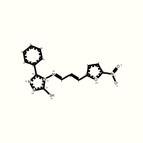 O=[N+]([O-])c1ccc(/C=C/C=N/n2c(S)nnc2-c2ccccc2)o1